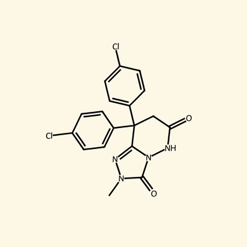 Cn1nc2n(c1=O)NC(=O)CC2(c1ccc(Cl)cc1)c1ccc(Cl)cc1